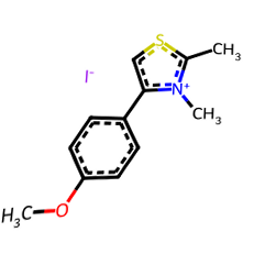 COc1ccc(-c2csc(C)[n+]2C)cc1.[I-]